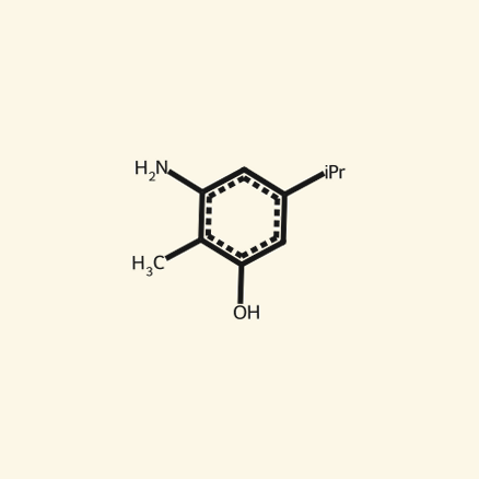 Cc1c(N)cc(C(C)C)cc1O